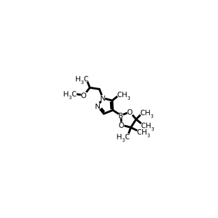 COC(C)Cn1ncc(B2OC(C)(C)C(C)(C)O2)c1C